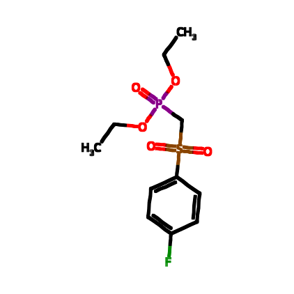 CCOP(=O)(CS(=O)(=O)c1ccc(F)cc1)OCC